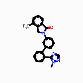 Cn1ncnc1-c1ccccc1-c1cccc(N2Cc3c(cccc3C(F)(F)F)C2=O)c1